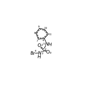 O=S(=O)(NBr)Nc1ccccc1